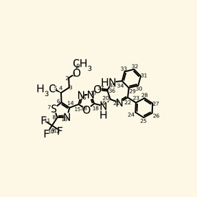 COCC[C@H](C)c1sc(C(F)(F)F)nc1-c1nnc(N[C@H]2N=C(c3ccccc3)c3ccccc3NC2=O)o1